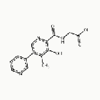 Cc1c(-c2cccnc2)cnc(C(=O)NCC(=O)O)c1O